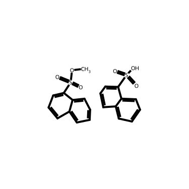 COS(=O)(=O)c1cccc2ccccc12.O=S(=O)(O)c1cccc2ccccc12